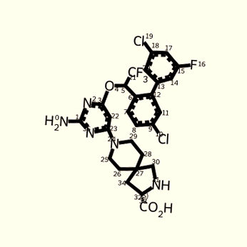 Nc1nc(OC(c2ccc(Cl)cc2-c2cc(F)cc(Cl)c2)C(F)(F)F)cc(N2CCC3(CC2)CN[C@H](C(=O)O)C3)n1